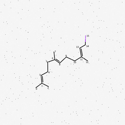 CC(C)=CCCC(C)=CCCC(C)=CCI